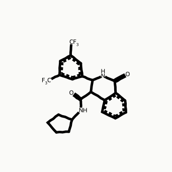 O=C1NC(c2cc(C(F)(F)F)cc(C(F)(F)F)c2)C(C(=O)NC2CCCC2)c2ccccc21